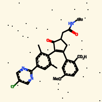 COc1ccc(C(=O)O)c(C2=C(c3c(C)cc(-c4ncc(Cl)cn4)cc3C)C(=O)C(CC(=O)NC(C)(C)C)C2)c1